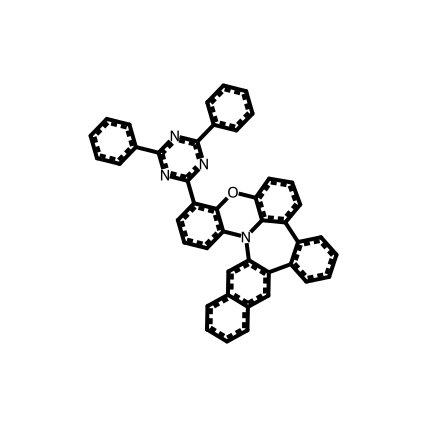 c1ccc(-c2nc(-c3ccccc3)nc(-c3cccc4c3Oc3cccc5c3N4c3cc4ccccc4cc3-c3ccccc3-5)n2)cc1